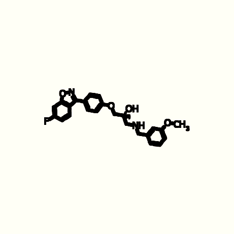 COc1cccc(CNC[C@@H](O)COc2ccc(-c3noc4cc(F)ccc34)cc2)c1